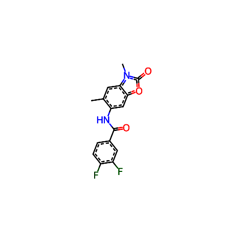 Cc1cc2c(cc1NC(=O)c1ccc(F)c(F)c1)oc(=O)n2C